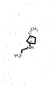 CCN[C@@H]1CC[C@@H](OC)C1